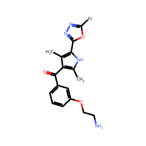 CCc1nnc(-c2[nH]c(C)c(C(=O)c3cccc(OCCN)c3)c2C)o1